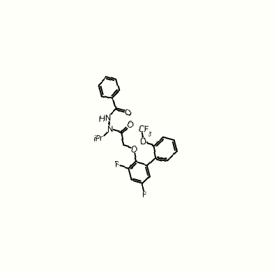 CC(C)N(NC(=O)c1ccccc1)C(=O)COc1c(F)cc(F)cc1-c1ccccc1OC(F)(F)F